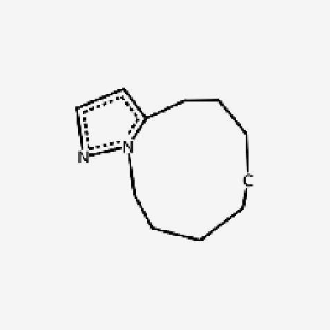 c1cc2n(n1)CCCCCCCC2